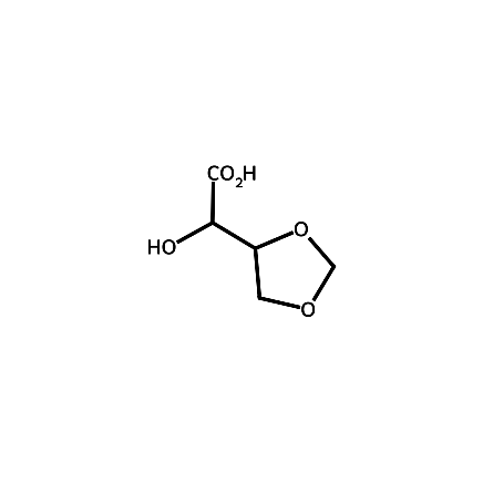 O=C(O)C(O)C1COCO1